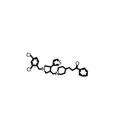 O=C(CCC1CCN(CC2CN(Cc3ccc(Cl)cc3Cl)CC2c2ccsc2)CC1)c1ccccc1